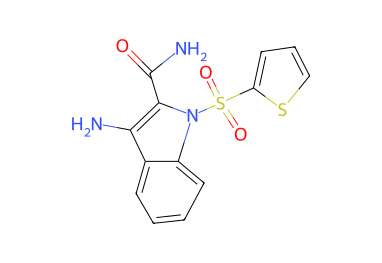 NC(=O)c1c(N)c2ccccc2n1S(=O)(=O)c1cccs1